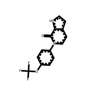 O=c1c2[nH]ccc2ccn1-c1ccc(OC(F)(F)F)cc1